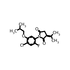 CC(C)=C1CC(=O)N(c2cc(OCC(C)C)c(Cl)cc2F)C1=O